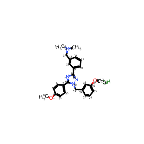 COc1ccc(-c2nc(-c3cccc(CN(C)C)c3)nn2Cc2cccc(OC)c2)cc1.Cl